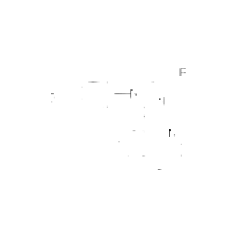 CC(C)(C)c1ccc(N2C[C@H](C(C)(C)C)N=C2c2cccc3cccnc23)cc1